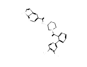 Cc1ccc(-c2ccccc2C(=O)N2CCC[C@@H](NC(=O)c3cnc4[nH]ccc4c3)C2)cc1C